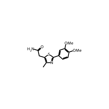 COc1ccc(-c2nc(C)c(CC(N)=O)s2)cc1OC